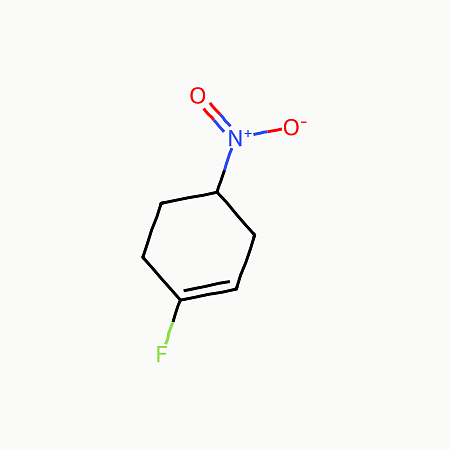 O=[N+]([O-])C1CC=C(F)CC1